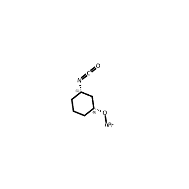 CCCO[C@@H]1CCC[C@H](N=C=O)C1